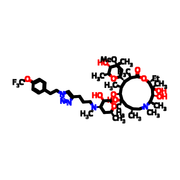 CC[C@H]1OC(=O)[C@H](C)[C@@H](C2C[C@@](C)(OC)[C@@H](O)[C@H](C)O2)[C@H](C)[C@@H](O[C@@H]2O[C@H](C)C[C@H](N(C)CCCc3cn(CCc4ccc(OC(F)(F)F)cc4)nn3)[C@H]2O)[C@](C)(O)C[C@@H](C)CN(C)[C@H](C)[C@@H](O)[C@]1(C)O